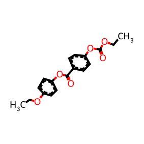 CCOC(=O)Oc1ccc(C(=O)Oc2ccc(OCC)cc2)cc1